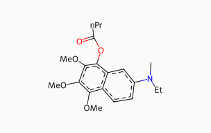 CCCC(=O)Oc1c(OC)c(OC)c(OC)c2ccc(N(C)CC)cc12